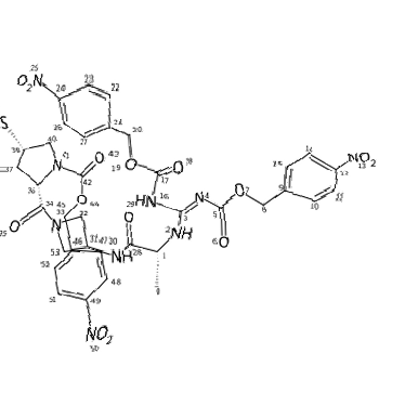 C[C@@H](N/C(=N\C(=O)OCc1ccc([N+](=O)[O-])cc1)NC(=O)OCc1ccc([N+](=O)[O-])cc1)C(=O)NC1CN(C(=O)[C@@H]2C[C@H](S)CN2C(=O)OCc2ccc([N+](=O)[O-])cc2)C1